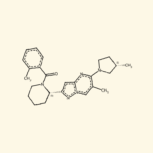 Cc1ccccc1C(=O)N1CCCC[C@H]1c1cc2nc(N3CC[C@H](C)C3)c(C)cn2n1